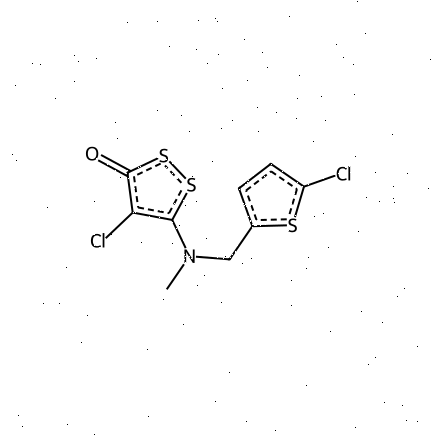 CN(Cc1ccc(Cl)s1)c1ssc(=O)c1Cl